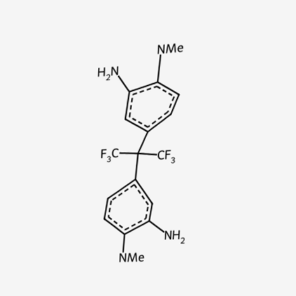 CNc1ccc(C(c2ccc(NC)c(N)c2)(C(F)(F)F)C(F)(F)F)cc1N